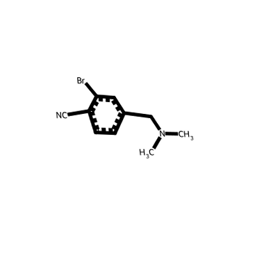 CN(C)Cc1ccc(C#N)c(Br)c1